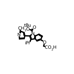 Cc1cc(-c2c(C(C)C)c3cc(OCC(=O)O)ccc3n2C(=O)OC(C)(C)C)ccn1